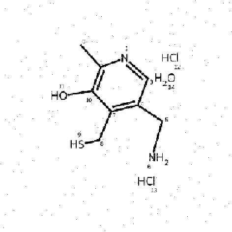 Cc1ncc(CN)c(CS)c1O.Cl.Cl.O